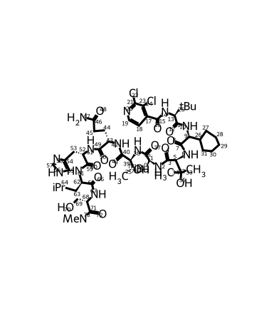 CC[C@H](C)[C@H](NC(=O)[C@@H](NC(=O)[C@@H](NC(=O)[C@@H](NC(=O)c1ccnc(Cl)c1Cl)C(C)(C)C)C1CCCCC1)C(C)(C)O)C(=O)N[C@H](C(=O)N[C@@H](CCC(N)=O)C(=O)N[C@@H](Cc1c[nH]cn1)C(=O)N[C@H](CC(C)C)C(=O)N[C@@H](CO)C(=O)NC)[C@@H](C)O